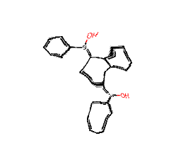 O[Si](c1ccccc1)=c1ccc(=[Si](O)c2ccccc2)c2ccccc12